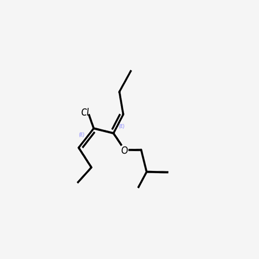 CC/C=C(Cl)\C(=C/CC)OCC(C)C